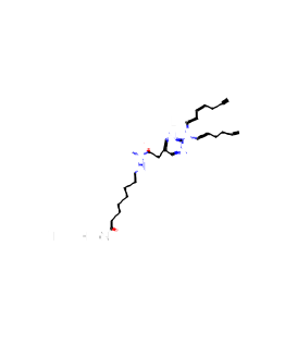 C#CC/C=C\C=C(/CC)N(/C=C/CCC=C)c1ncc(CC(=O)N(C)NCCCCCCCC(=O)N(C)O)cn1